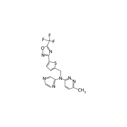 Cc1ccc(N(Cc2ccc(-c3noc(C(F)(F)F)n3)s2)c2cnccn2)nn1